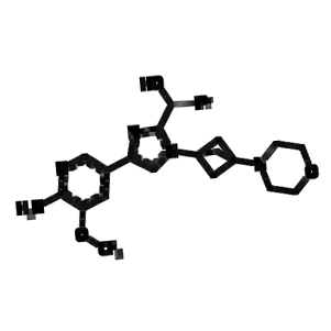 CC(C)C(O)c1nc(-c2cnc(N)c(OC(F)(F)F)c2)cn1C12CC(N3CCOCC3)(C1)C2